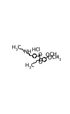 CCCCNCC=Cc1ccc(C(=O)c2c(CCCC)oc3ccc(C(=O)OC(C)C)cc23)cc1.Cl